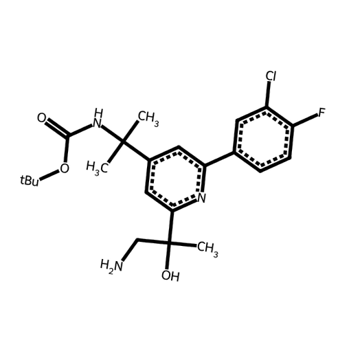 CC(C)(C)OC(=O)NC(C)(C)c1cc(-c2ccc(F)c(Cl)c2)nc(C(C)(O)CN)c1